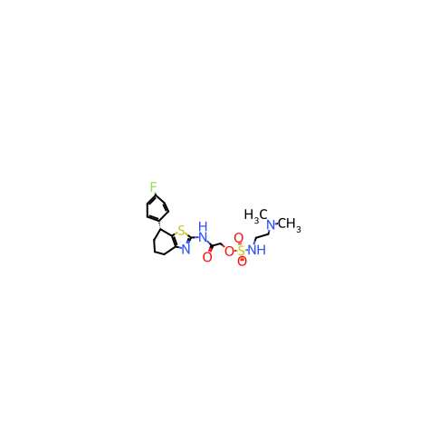 CN(C)CCNS(=O)(=O)OCC(=O)Nc1nc2c(s1)[C@@H](c1ccc(F)cc1)CCC2